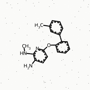 CNc1nc(Oc2ccccc2-c2cccc(C)c2)ccc1N